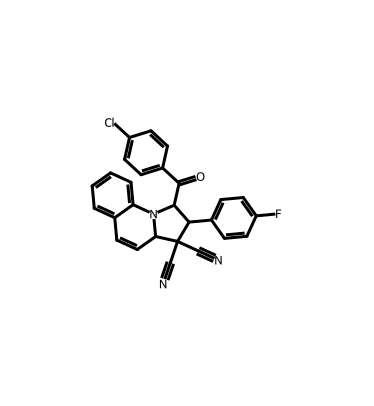 N#CC1(C#N)C(c2ccc(F)cc2)C(C(=O)c2ccc(Cl)cc2)N2c3ccccc3C=CC21